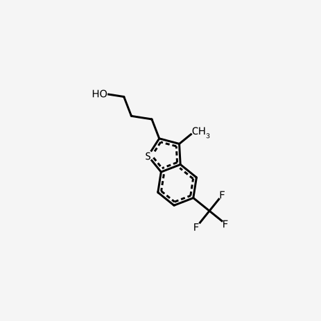 Cc1c(CCCO)sc2ccc(C(F)(F)F)cc12